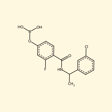 CC(NC(=O)c1ccc(OB(O)O)cc1F)c1cccc(Cl)c1